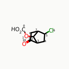 O=C(O)OC1C2CC(Cl)C1CC2=O